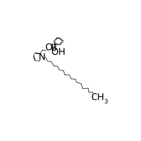 CCCCCCCCCCCCCCCCCCN1CC=CC=C1CCOB(O)c1ccccc1